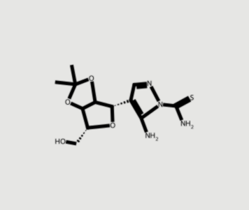 CC1(C)OC2C(O1)[C@H](c1cnn(C(N)=S)c1N)O[C@@H]2CO